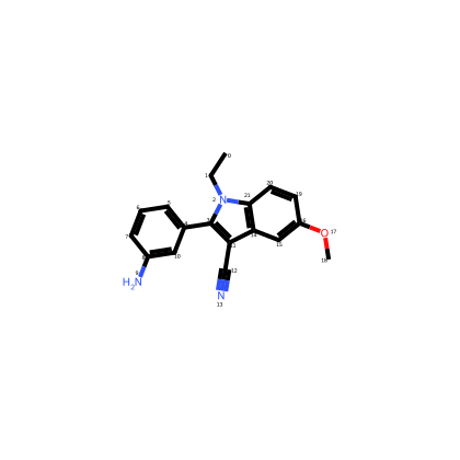 CCn1c(-c2cccc(N)c2)c(C#N)c2cc(OC)ccc21